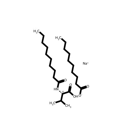 CCCCCCCCCC(=O)N[C@H](C(=O)O)C(C)C.CCCCCCCCCC(=O)[O-].[Na+]